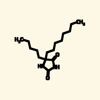 CCCCCCCCC1(CCCCC)NC(=O)NC1=O